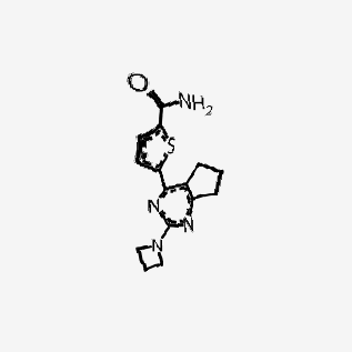 NC(=O)c1ccc(-c2nc(N3CCC3)nc3c2CCC3)s1